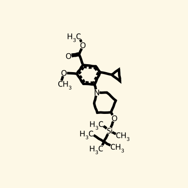 COC(=O)c1cc(C2CC2)c(N2CCC(O[Si](C)(C)C(C)(C)C)CC2)cc1OC